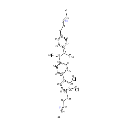 C/C=C/CCc1ccc(C(F)C(F)c2ccc(-c3ccc(CC/C=C/C)c(Cl)c3Cl)cc2)cc1